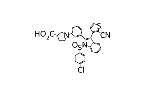 N#Cc1sccc1-c1c(-c2cccc(N3CCC(C(=O)O)C3)c2)n([S+]([O-])c2ccc(Cl)cc2)c2ccccc12